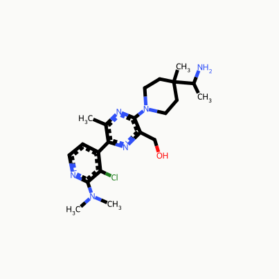 Cc1nc(N2CCC(C)(C(C)N)CC2)c(CO)nc1-c1ccnc(N(C)C)c1Cl